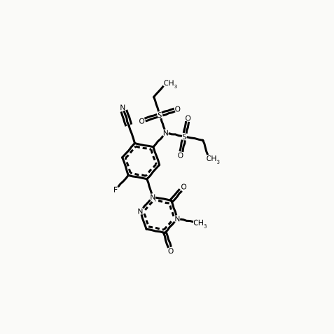 CCS(=O)(=O)N(c1cc(-n2ncc(=O)n(C)c2=O)c(F)cc1C#N)S(=O)(=O)CC